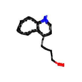 OCCCc1ccnc2ccccc12